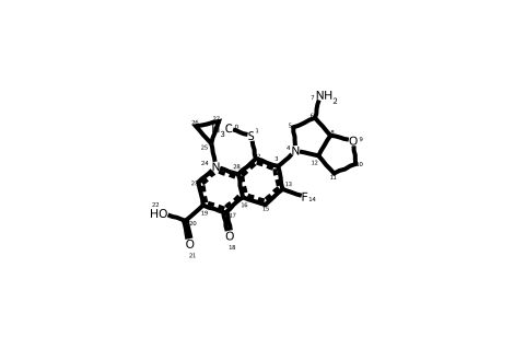 CSc1c(N2CC(N)C3OCCC32)c(F)cc2c(=O)c(C(=O)O)cn(C3CC3)c12